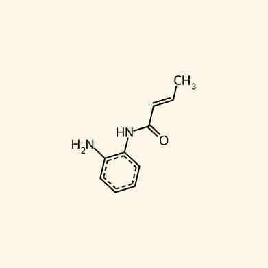 CC=CC(=O)Nc1ccccc1N